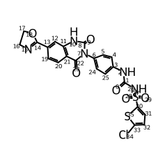 O=C(Nc1ccc(-n2c(=O)[nH]c3cc(C4=NCCO4)ccc3c2=O)cc1)NS(=O)(=O)c1ccc(Cl)s1